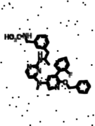 CC(Cc1cccc(CNC(=O)O)c1)Nc1nccc(N(C)c2cnc(OCc3ccccc3)c(-c3ccccc3F)c2)n1